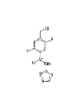 [O-][S+](Nc1ncns1)c1cc(F)c(CCl)cc1F